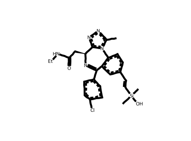 CCNC(=O)C[C@@H]1N=C(c2ccc(Cl)cc2)c2cc(C=C[Si](C)(C)O)ccc2-n2c(C)nnc21